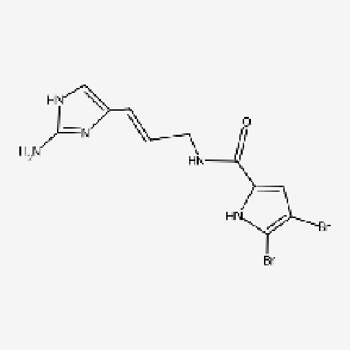 Nc1nc(C=CCNC(=O)c2cc(Br)c(Br)[nH]2)c[nH]1